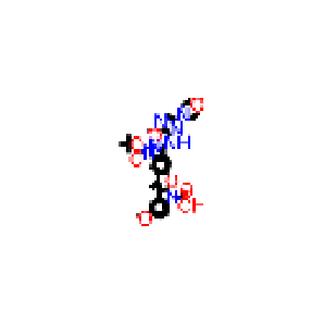 COc1ccc2c(c1)[C@]1(C[C@H]1c1ccc3c(Nc4nc(N5CCOCC5)cnc4OC)nn(C(=O)OC(C)(C)C)c3c1)C(=O)N2C(=O)O